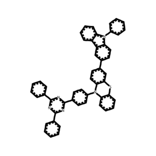 c1ccc(-c2nc(-c3ccccc3)nc(-c3ccc(N4c5ccccc5Sc5cc(-c6ccc7c(c6)c6ccccc6n7-c6ccccc6)ccc54)cc3)n2)cc1